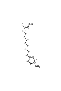 CC(C)(C)OC(=O)NCCOCCOCCc1ccc([N+](=O)[O-])cc1